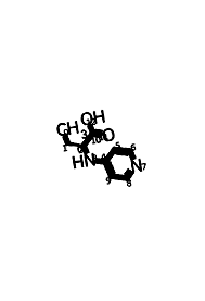 CC[C@H](Nc1ccncc1)C(=O)O